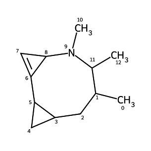 CC1CC2CC2C2=CC2N(C)C1C